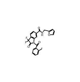 O=C(NCc1ccco1)c1ccc2c(c1)N(C(=O)c1ccccc1F)C(=O)C2(F)F